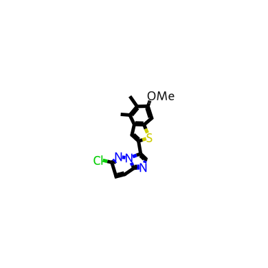 COc1cc2sc(-c3cnc4ccc(Cl)nn34)cc2c(C)c1C